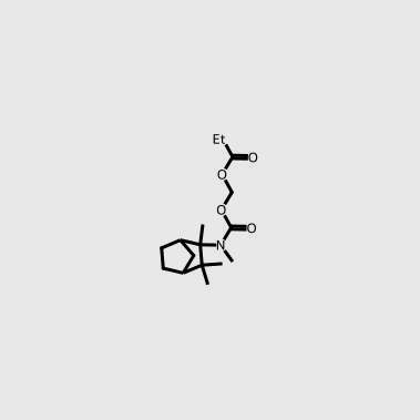 CCC(=O)OCOC(=O)N(C)C1(C)C2CCC(C2)C1(C)C